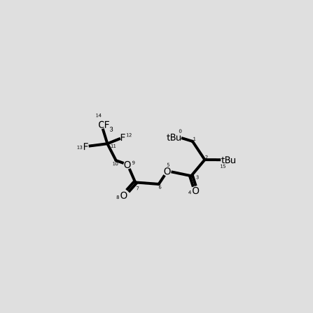 CC(C)(C)CC(C(=O)OCC(=O)OCC(F)(F)C(F)(F)F)C(C)(C)C